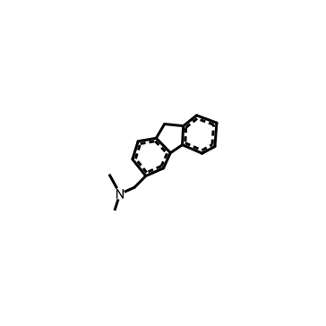 CN(C)Cc1ccc2c(c1)-c1ccccc1C2